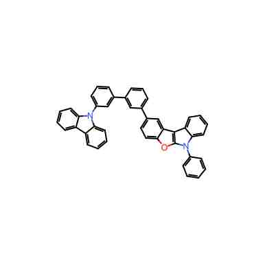 c1ccc(-n2c3ccccc3c3c4cc(-c5cccc(-c6cccc(-n7c8ccccc8c8ccccc87)c6)c5)ccc4oc32)cc1